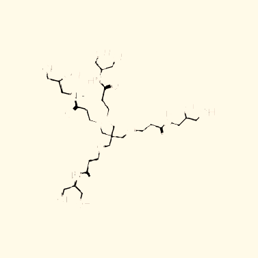 O=C(CCOCC(COCCC(=O)NCC(O)CO)(COCCC(=O)NC(CO)CO)COCCC(=O)NC(CO)CO)NCC(O)CO